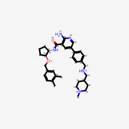 Cc1ccc(CO[C@H]2CCC[C@@H]2NC(=O)c2cc(-c3ccc(CNCC4CCN(C)CC4)cc3)cnc2N)cc1C